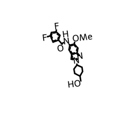 COc1cc2nn(C3CCC(CO)CC3)cc2cc1NC(=O)c1cc(F)cc(F)c1